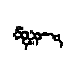 CC1Cc2c(ccc3c2nnn3C(C)(C)C)C(c2c(F)cc(OCCN3CC(CF)C3)cc2F)N1